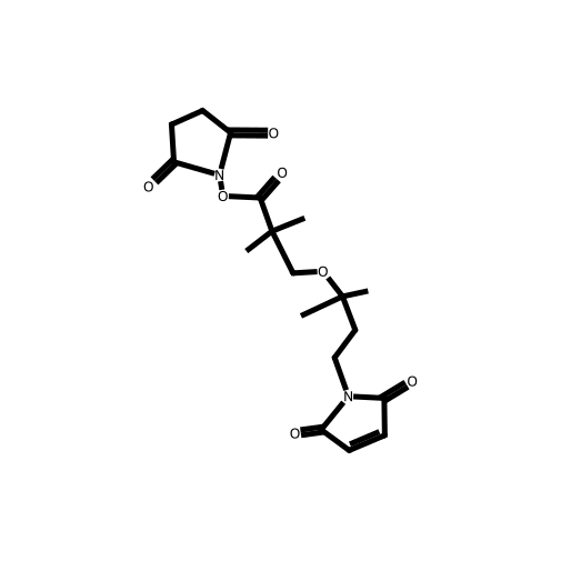 CC(C)(CCN1C(=O)C=CC1=O)OCC(C)(C)C(=O)ON1C(=O)CCC1=O